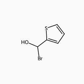 OC(Br)c1cccs1